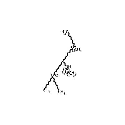 CCCCCCCCC(CC)OC(=O)CCCCCCCN(CCCCCCCC(=O)OC(CCCCCCCC)CCCCCCCC)CCNC(=O)OC(C)(C)C